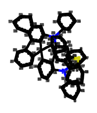 c1ccc(N(c2ccccc2)c2cccc3c2-c2ccccc2C32c3ccccc3-c3c2c(N(c2ccccc2)c2ccc4c(c2)sc2ccccc24)cc2ccccc32)cc1